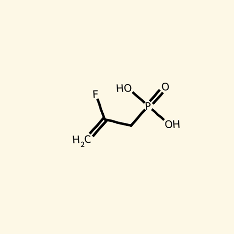 C=C(F)CP(=O)(O)O